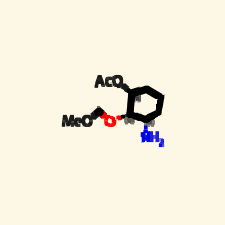 COCO[C@@H]1[C@@H](OC(C)=O)CCC[C@@H]1N